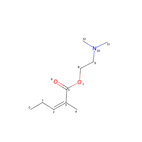 CCC=C(C)C(=O)OCCN(C)C